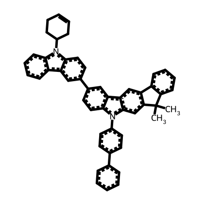 CC1(C)c2ccccc2-c2cc3c4cc(-c5ccc6c(c5)c5ccccc5n6C5CC=CCC5)ccc4n(-c4ccc(-c5ccccc5)cc4)c3cc21